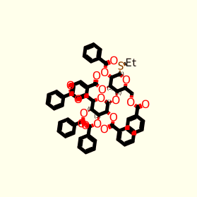 CCS[C@@H]1OC(COC(=O)c2ccccc2)[C@@H](O[C@@H]2OC(COC(=O)c3ccccc3)[C@@H](OC(=O)c3ccccc3)[C@H](OC(=O)c3ccccc3)C2OC(=O)c2ccccc2)[C@H](OC(=O)c2ccccc2)C1OC(=O)c1ccccc1